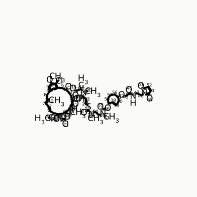 COc1cc2cc(c1Cl)CC(=O)C[C@H](OC(=O)[C@H](C)N(C)C(=O)CCSC(=O)N(C)CCN(C)C(=O)OC1/C=C/CC(OCC(=O)NCCN3C(=O)C=CC3=O)CCC1)[C@]1(C)O[C@H]1[C@H](C)[C@@H]1C[C@@](O)(NC(=O)O1)[C@H](OC)/C=C/C=C(\C)C2